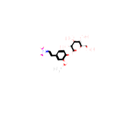 COc1cc(C=C[N+](=O)[O-])ccc1O[C@H]1O[C@H](CO)[C@@H](O)[C@H](O)[C@H]1O